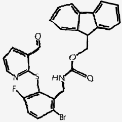 O=Cc1cccnc1Sc1c(F)ccc(Br)c1CNC(=O)OCC1c2ccccc2-c2ccccc21